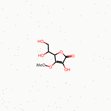 COOC1=C(O)C(=O)OC1C(O)CO